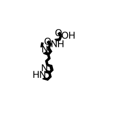 CCn1cc(CCc2ccc3c(n2)NCCC3)cc1C(=O)NCCC(=O)O